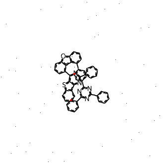 c1ccc(-c2nc(-c3ccccc3)nc(-c3ccc(-c4cccc5oc6cccc(-c7nc(-c8ccccc8)nc8c7sc7ccccc78)c6c45)cc3)n2)cc1